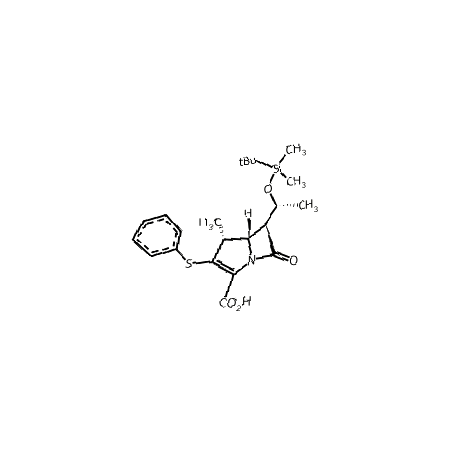 C[C@@H](O[Si](C)(C)C(C)(C)C)[C@H]1C(=O)N2C(C(=O)O)=C(Sc3ccccc3)[C@H](C)[C@H]12